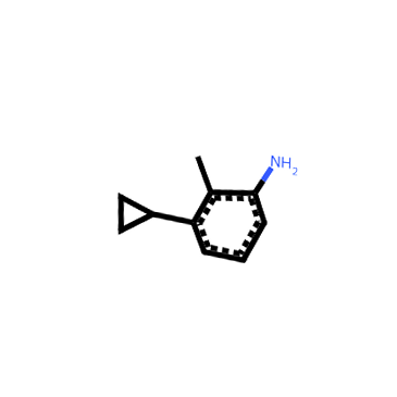 Cc1c(N)cccc1C1CC1